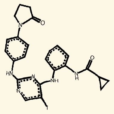 O=C(Nc1ccccc1Nc1nc(Nc2ccc(N3CCCC3=O)cc2)ncc1I)C1CC1